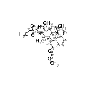 CCc1c(F)ccc2cc(OCOC)cc(-c3c(C)c4nc(S(=O)(=O)CC)nc(O)c4c4cn(C)nc34)c12